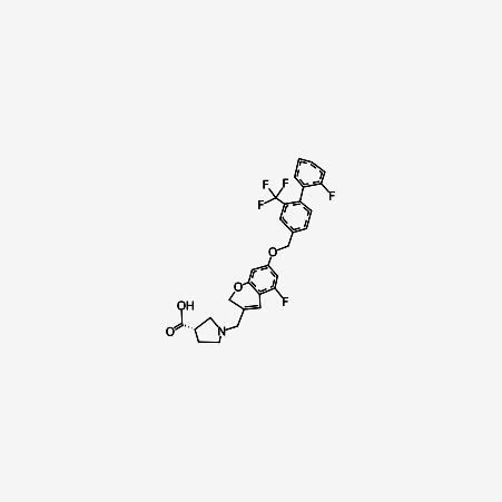 O=C(O)[C@H]1CCN(CC2=Cc3c(F)cc(OCc4ccc(-c5ccccc5F)c(C(F)(F)F)c4)cc3OC2)C1